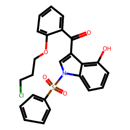 O=C(c1ccccc1OCCCCl)c1cn(S(=O)(=O)c2ccccc2)c2cccc(O)c12